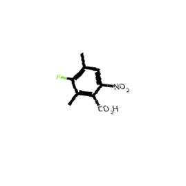 Cc1cc([N+](=O)[O-])c(C(=O)O)c(C)c1F